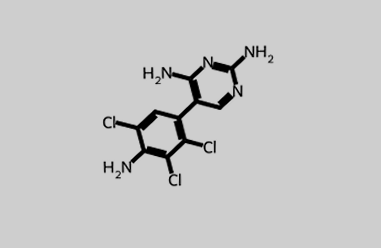 Nc1ncc(-c2cc(Cl)c(N)c(Cl)c2Cl)c(N)n1